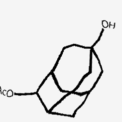 CC(=O)OC1C2CC3CC1CC(O)(C3)C2